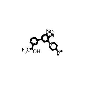 CN(C)C1CCN(c2cc(-c3cccc(C(O)C(F)(F)F)c3)cc3nonc23)CC1